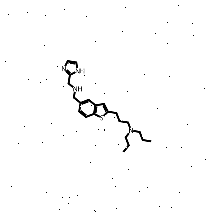 CCCN(CCC)CCCc1cc2cc(CNCc3ncc[nH]3)ccc2s1